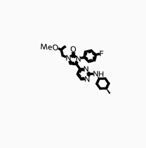 COC(C)Cn1cc(-c2ccnc(N[C@H]3CC[C@H](C)CC3)n2)n(-c2ccc(F)cc2)c1=O